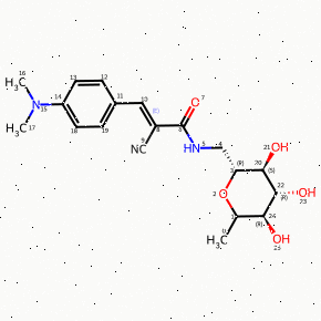 CC1O[C@H](CNC(=O)/C(C#N)=C/c2ccc(N(C)C)cc2)[C@@H](O)[C@H](O)[C@H]1O